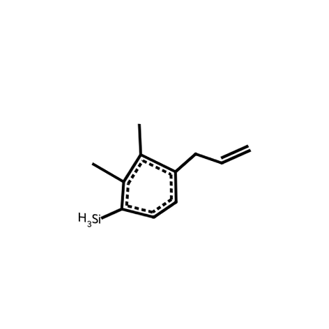 C=CCc1ccc([SiH3])c(C)c1C